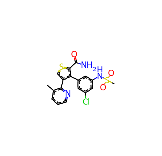 Cc1cccnc1-c1csc(C(N)=O)c1-c1cc(Cl)cc(NS(C)(=O)=O)c1